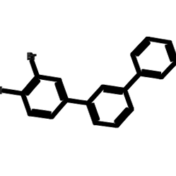 Brc1cc(-c2cccc(-c3ccccc3)c2)ccc1I